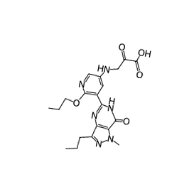 CCCOc1ncc(NCC(=O)C(=O)O)cc1-c1nc2c(CCC)nn(C)c2c(=O)[nH]1